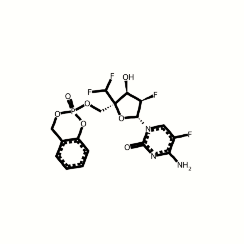 Nc1nc(=O)n([C@@H]2O[C@@](COP3(=O)OCc4ccccc4O3)(C(F)F)[C@@H](O)[C@H]2F)cc1F